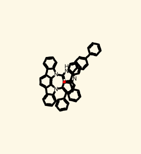 c1ccc(C2=NC(c3ccc(-c4ccccc4)cc3)NC(n3c4ccccc4c4ccc5c6ccccc6n(-c6cc(-c7ccccc7)ccc6-c6ccccc6)c5c43)=N2)cc1